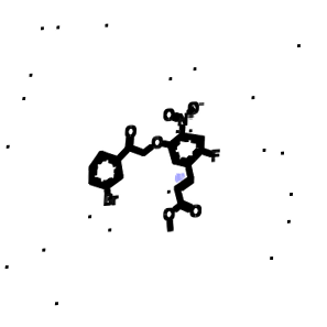 COC(=O)/C=C/c1cc(OCC(=O)c2cccc(Br)c2)c([N+](=O)[O-])cc1F